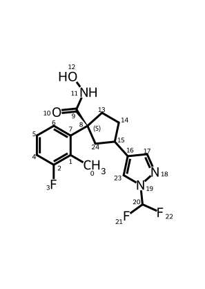 Cc1c(F)cccc1[C@]1(C(=O)NO)CCC(c2cnn(C(F)F)c2)C1